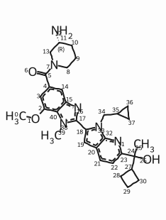 COc1cc(C(=O)N2CCC[C@@H](N)C2)cc2nc(-c3cc4ccc(C(C)(O)C5CCC5)nc4n3CC3CC3)n(C)c12